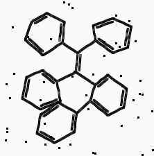 c1ccc(C(=C(c2ccccc2)c2ccccc2-c2ccccc2)c2ccccc2)cc1